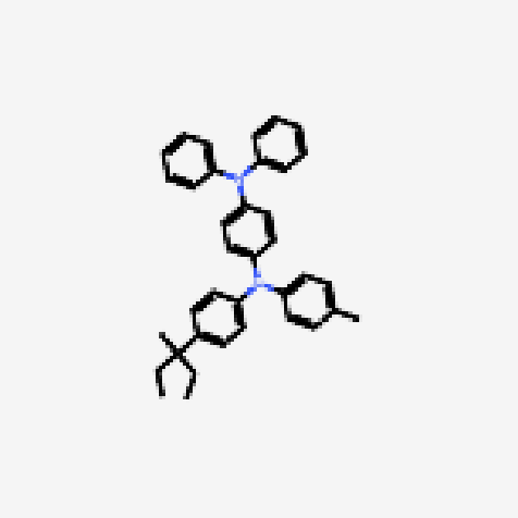 CCC(C)(CC)c1ccc(N(c2ccc(C)cc2)c2ccc(N(c3ccccc3)c3ccccc3)cc2)cc1